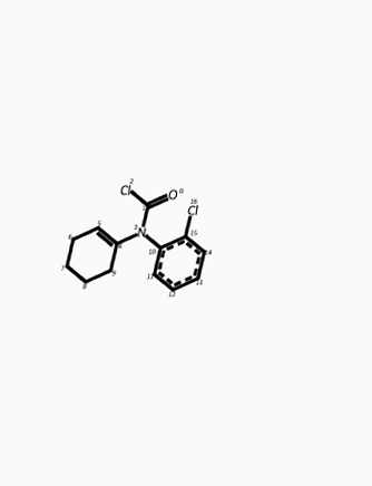 O=C(Cl)N(C1=CCCCC1)c1ccccc1Cl